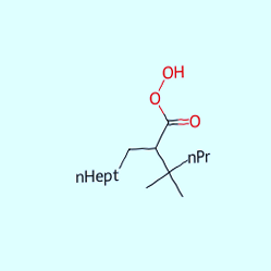 CCCCCCCCC(C(=O)OO)C(C)(C)CCC